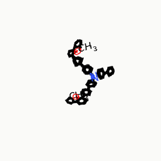 CC12C=CC=CC1c1cccc(-c3ccc(-c4ccc(N(c5ccc(-c6ccccc6)cc5)c5ccc(-c6ccc(-c7cccc8c7OC7(C)C=CC=CC87)cc6)cc5)cc4)cc3)c1O2